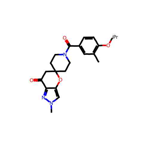 Cc1cc(C(=O)N2CCC3(CC2)CC(=O)c2nn(C)cc2O3)ccc1OC(C)C